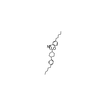 CCCCCc1ccc(C2CCC(C(=O)Oc3ccc(CCCCC)cc3C#N)CC2)cc1